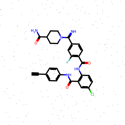 C#Cc1ccc(NC(=O)c2cc(Cl)ccc2NC(=O)c2ccc(C(=N)N3CCC(C(N)=O)CC3)cc2F)cc1